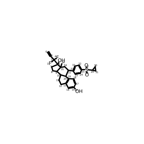 C#CC(F)(F)C1(O)CCC2C3CCc4cc(O)ccc4C3C(c3ccc(S(=O)(=O)C4CC4)cc3)CC21C